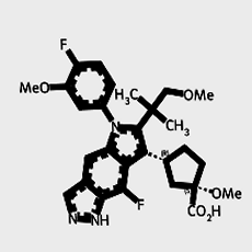 COCC(C)(C)c1c([C@@H]2CC[C@@](OC)(C(=O)O)C2)c2c(F)c3[nH]ncc3cc2n1-c1ccc(F)c(OC)c1